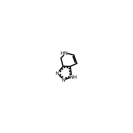 C1=Cc2[nH]nnc2CN1